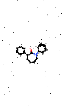 O=C1C(c2ccccc2)CCCCN1c1ccccc1